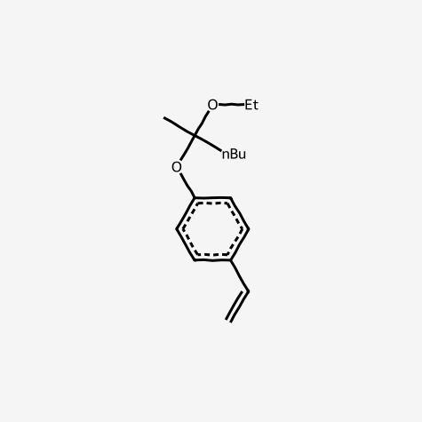 C=Cc1ccc(OC(C)(CCCC)OCC)cc1